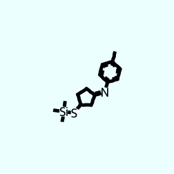 Cc1ccc(/N=C2\CCC(S[Si](C)(C)C)C2)cc1